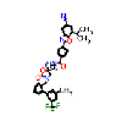 Cc1cc(-c2ccccc2CN2CC(C)(CNC(=O)c3ccc(-c4nc5cc(C#N)cc(C(C)C)c5o4)cc3)OC2=O)cc(C(F)(F)F)c1